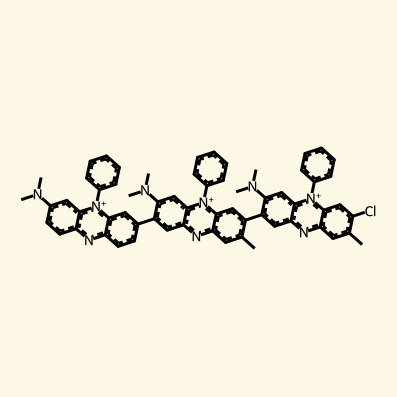 Cc1cc2nc3cc(-c4cc5c(cc4C)nc4cc(-c6ccc7nc8ccc(N(C)C)cc8[n+](-c8ccccc8)c7c6)c(N(C)C)cc4[n+]5-c4ccccc4)c(N(C)C)cc3[n+](-c3ccccc3)c2cc1Cl